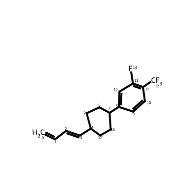 C=C/C=C/C1CCC(c2ccc(C(F)(F)F)c(F)c2)CC1